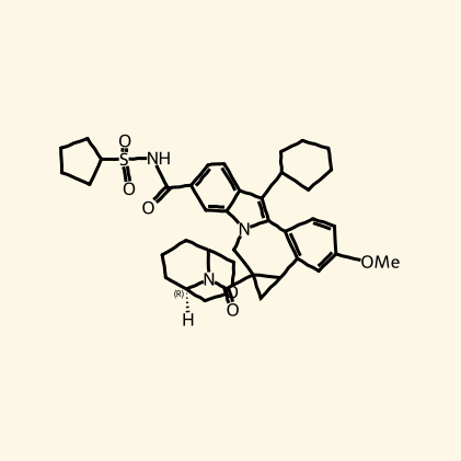 COc1ccc2c(c1)C1CC1(C(=O)N1C3CCC[C@@H]1COC3)Cn1c-2c(C2CCCCC2)c2ccc(C(=O)NS(=O)(=O)C3CCCC3)cc21